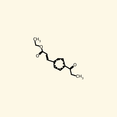 CCOC(=O)C=Cc1ccc(C(=O)CC)cc1